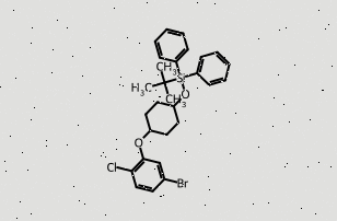 CC(C)(C)[Si](OC1CCC(Oc2cc(Br)ccc2Cl)CC1)(c1ccccc1)c1ccccc1